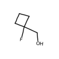 OCC1(F)CCC1